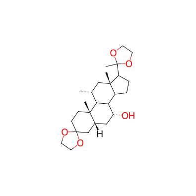 C[C@@H]1C[C@@]2(C)C(CCC2C2(C)OCCO2)C2C1[C@@]1(C)CCC3(C[C@H]1C[C@H]2O)OCCO3